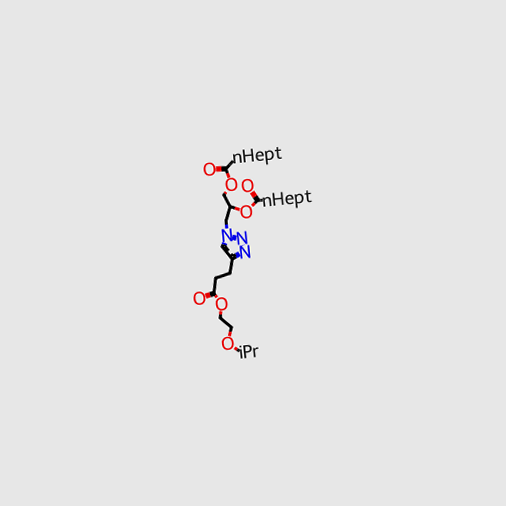 CCCCCCCC(=O)OCC(Cn1cc(CCC(=O)OCCOC(C)C)nn1)OC(=O)CCCCCCC